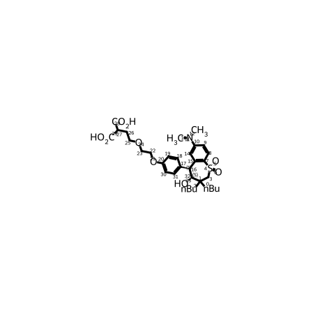 CCCCC1(CCCC)CS(=O)(=O)c2ccc(N(C)C)cc2[C@H](c2ccc(OCCOCCC(C(=O)O)C(=O)O)cc2)[C@@H]1O